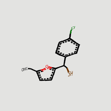 O=Cc1ccc(C(S)c2ccc(Cl)cc2)o1